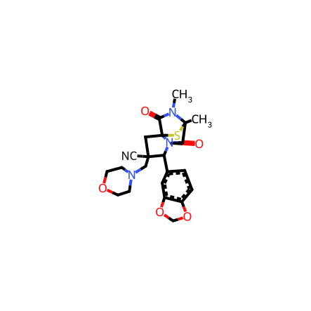 CN1C(=O)C23CC(C#N)(CN4CCOCC4)C(c4ccc5c(c4)OCO5)N2C(=O)C1(C)S3